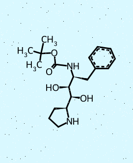 CC(C)(C)OC(=O)N[C@@H](Cc1ccccc1)[C@H](O)[C@@H](O)[C@@H]1CCCN1